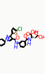 O=C(O)C[C@H](NC(=O)c1cccc(NC(=O)c2cn(-c3ccccc3)nc2-c2ccc(Cl)s2)c1)C(=O)O